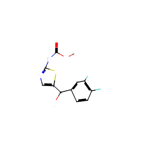 CC(C)(C)OC(=O)Nc1ncc(C(O)c2ccc(F)c(F)c2)s1